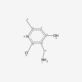 Cc1cc(O)c(CN)c(Cl)n1